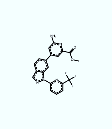 COC(=O)c1cc(-c2ccc3cnn(-c4cccc(C(F)(F)F)n4)c3c2)cc(N)n1